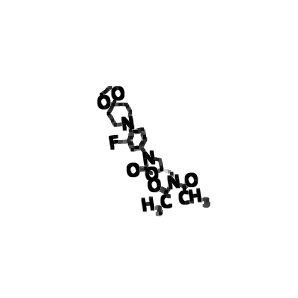 CC(=O)N(C[C@H]1CN(c2ccc(N3CCC4(CC3)OCCO4)c(F)c2)C(=O)O1)C(C)=O